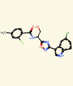 Cc1ccc(C(=O)NC(CO)c2nc(-c3c[nH]c4ccc(Cl)cc34)no2)c(F)c1